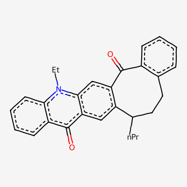 CCCC1CCc2ccccc2C(=O)c2cc3c(cc21)c(=O)c1ccccc1n3CC